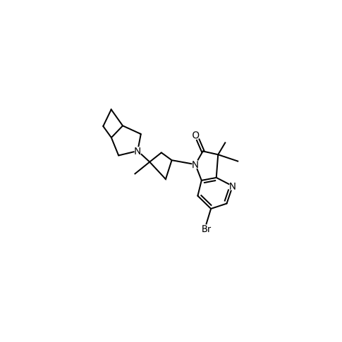 CC1(C)C(=O)N(C2CC(C)(N3CC4CCC4C3)C2)c2cc(Br)cnc21